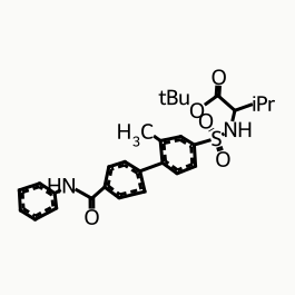 Cc1cc(S(=O)(=O)NC(C(=O)OC(C)(C)C)C(C)C)ccc1-c1ccc(C(=O)Nc2ccccc2)cc1